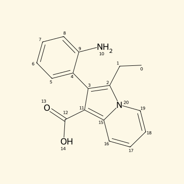 CCc1c(-c2ccccc2N)c(C(=O)O)c2ccccn12